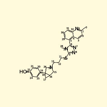 Cc1ccc2c(-c3nnc(SCCCN4CC5C[C@]5(c5ccc(O)cc5)C4)n3C)cccc2n1